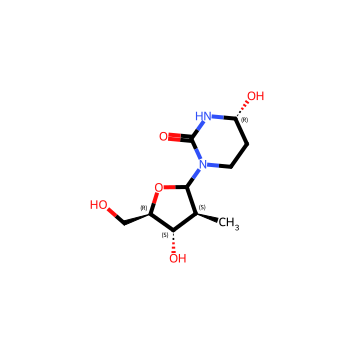 C[C@@H]1C(N2CC[C@@H](O)NC2=O)O[C@H](CO)[C@H]1O